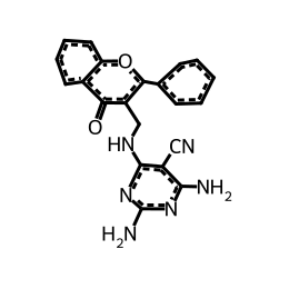 N#Cc1c(N)nc(N)nc1NCc1c(-c2ccccc2)oc2ccccc2c1=O